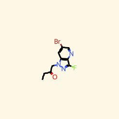 CCC(=O)Cn1nc(F)c2ncc(Br)cc21